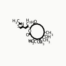 C/C(=C\c1csc(C)n1)[C@@H]1C[C@@H]2OC2CCC[C@H](C)[C@H](O)[C@@H](C)C(=O)C(C)(C)[C@@H](O)CC(=O)O1